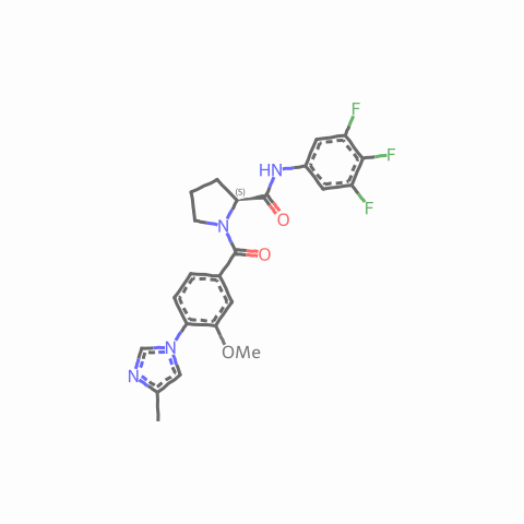 COc1cc(C(=O)N2CCC[C@H]2C(=O)Nc2cc(F)c(F)c(F)c2)ccc1-n1cnc(C)c1